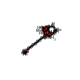 CC[C@H](C)[C@@H]1CCNC(=O)CNC(=O)[C@@H]2CC3c4ccc(OC)c(CSC5CCN(C(=O)CCOCCOCCOCCOCCOCCOCCOCCC(=O)Oc6c(F)c(F)c(F)c(F)c6F)CC5)c4NC3[S+]([O-])C[C@@H](NC(=O)CNC1=O)C(=O)N[C@@H](CC(N)=O)C(=O)NC[C@H](O)CC(=O)N[C@@H]([C@@H](C)[C@@H](O)CO)C(=O)N2